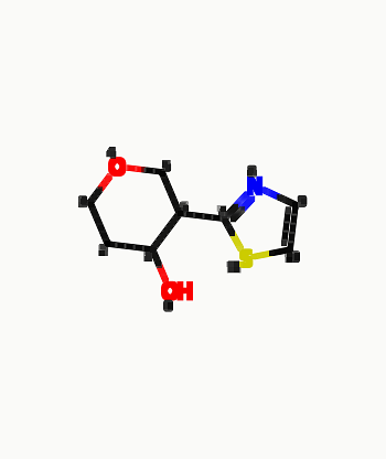 OC1CCOCC1c1nccs1